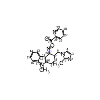 Cc1nccn1CC1CCc2c(c3ccccc3n2C)/C1=N/OC(=O)c1ccccn1